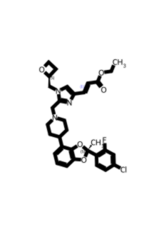 CCOC(=O)/C=C/c1cn(C[C@@H]2CCO2)c(CN2CCC(c3cccc4c3O[C@@](C)(c3ccc(Cl)cc3F)O4)CC2)n1